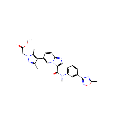 Cc1nc(-c2cccc(N(C)C(=O)c3cnc4ccc(-c5c(C)nn(CC(=O)OC(C)(C)C)c5C)cn34)c2)no1